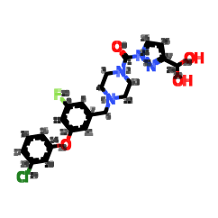 O=C(N1CCN(Cc2cc(F)cc(Oc3cccc(Cl)c3)c2)CC1)n1ccc(C(O)O)n1